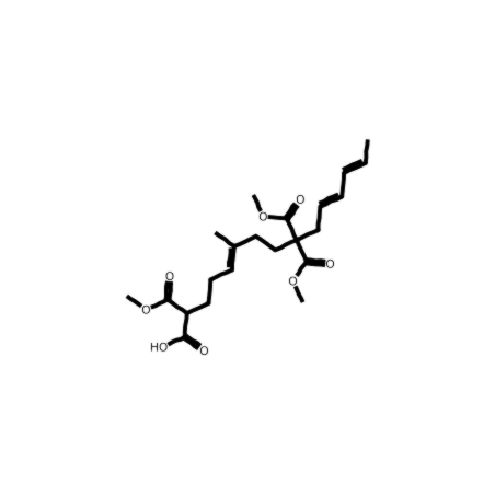 CC=CC=CCC(CCC(C)=CCCC(C(=O)O)C(=O)OC)(C(=O)OC)C(=O)OC